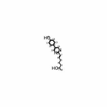 CC(O)CCC/C=C/c1ncc(-c2ccc(O)cc2)cn1